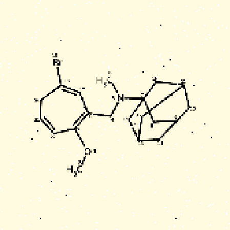 COC1=C(CN(C)C23CC4CC(CC(C4)C2)C3)C=C(Br)CC=C1